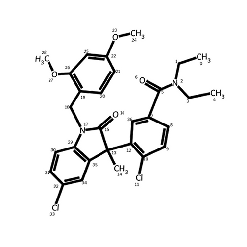 CCN(CC)C(=O)c1ccc(Cl)c(C2(C)C(=O)N(Cc3ccc(OC)cc3OC)c3ccc(Cl)cc32)c1